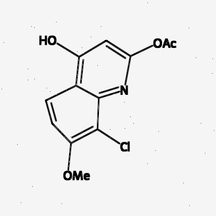 COc1ccc2c(O)cc(OC(C)=O)nc2c1Cl